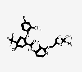 Cc1cc(F)ccc1Oc1cc(C(F)(F)F)c(Cl)cc1C(=O)Nc1ccnc(OCC2COC(C)(C)O2)c1F